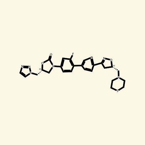 O=C1O[C@@H](Cn2ccnn2)CN1c1ccc(-c2ccc(C3=NO[C@H](CN4CCSCC4)C3)nc2)c(F)c1